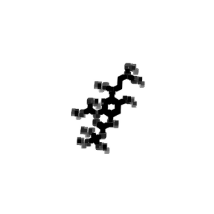 CC(C)Oc1nc(N(C)CCN(C)C)c(N)cc1NC(=O)OC(C)(C)C